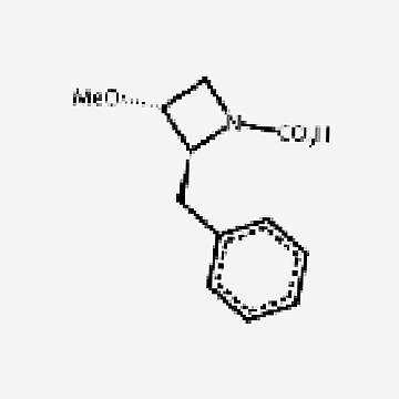 CO[C@@H]1CN(C(=O)O)[C@H]1Cc1ccccc1